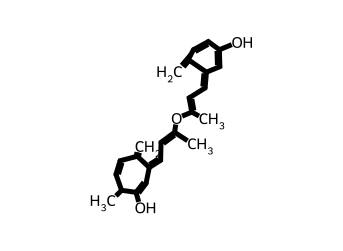 C=C1C=CC(C)C(O)=C/C1=C/C=C(\C)O/C(C)=C/C=c1/cc(O)ccc1=C